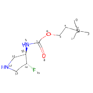 C[Si](C)(C)CCOC(=O)N[C@@H]1CNC[C@H]1F